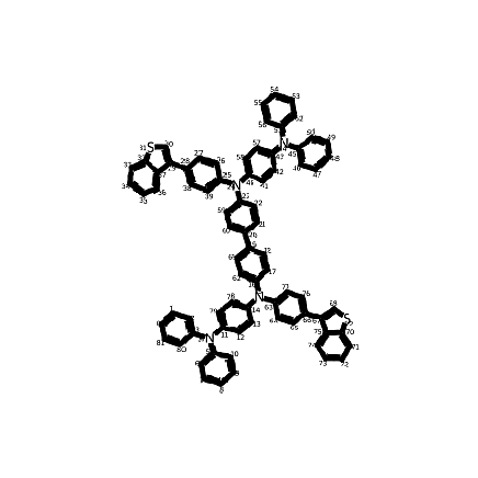 c1ccc(N(c2ccccc2)c2ccc(N(c3ccc(-c4ccc(N(c5ccc(-c6csc7ccccc67)cc5)c5ccc(N(c6ccccc6)c6ccccc6)cc5)cc4)cc3)c3ccc(-c4csc5ccccc45)cc3)cc2)cc1